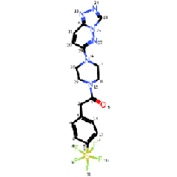 O=C(Cc1ccc(S(F)(F)(F)(F)F)cc1)N1CCN(c2ccc3nncn3n2)CC1